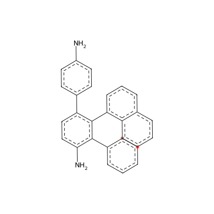 Nc1ccc(-c2ccc(N)c(-c3ccccc3)c2-c2cccc3ccccc23)cc1